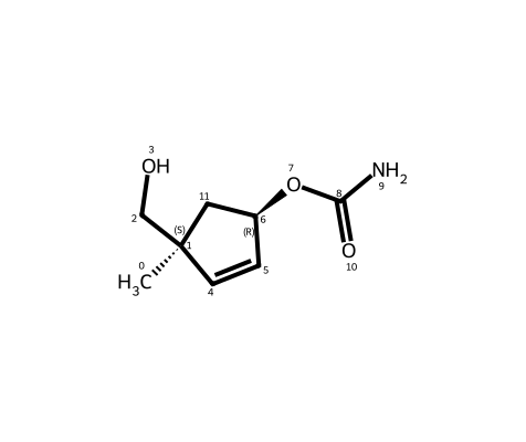 C[C@@]1(CO)C=C[C@H](OC(N)=O)C1